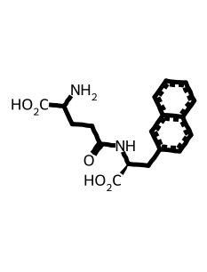 NC(CCC(=O)N[C@@H](Cc1ccc2ccccc2c1)C(=O)O)C(=O)O